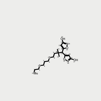 CC(C)(C)CCSCCCSCCC(C)(C)C(c1cc(O)no1)c1cc(O)no1